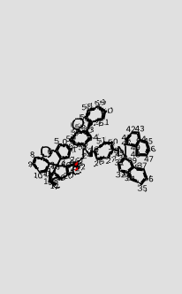 c1ccc2c(c1)Oc1ccccc1C21c2ccccc2-c2ccc(N(c3ccc(N(c4ccc5ccccc5c4)c4cccc5ccccc45)cc3)c3ccc4oc5ccccc5c4c3)cc21